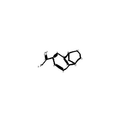 O=C(I)c1ccc2c(c1)C1CCC2C1